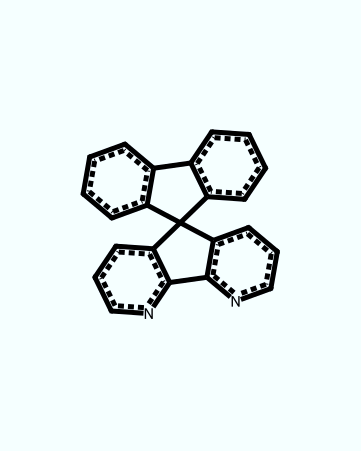 c1ccc2c(c1)-c1ccccc1C21c2cccnc2-c2ncccc21